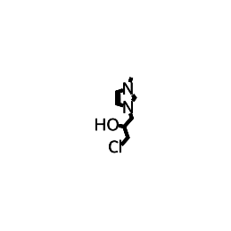 CN1C=CN(CC(O)CCl)C1